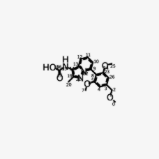 COCc1cc(OC)c(-c2cccc3c(NC(=O)O)c(C)nn23)c(OC)c1